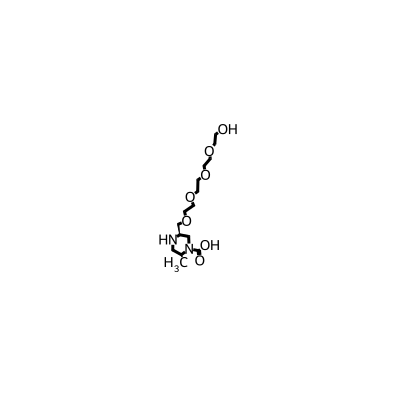 C[C@@H]1CN[C@@H](COCCOCCOCCOCCO)CN1C(=O)O